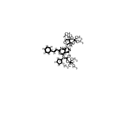 CC[C@H]1O[C@@H](n2ncc3c(N(C(=O)OC(C)(C)C)C4CCCC4)nc(/C=C/c4ccccc4)nc32)[C@@H]2OC(C)(C)O[C@@H]21